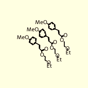 CCOCCOC(=O)/C=C/c1ccc(OC)cc1.CCOCCOC(=O)/C=C/c1ccc(OC)cc1.CCOCCOC(=O)/C=C/c1ccc(OC)cc1